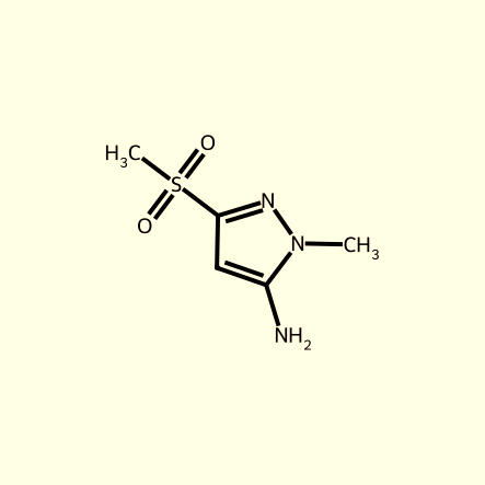 Cn1nc(S(C)(=O)=O)cc1N